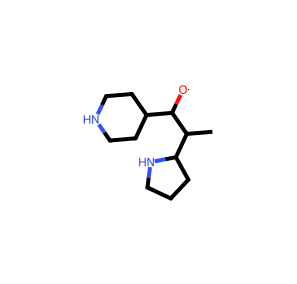 CC(C1CCCN1)C([O])C1CCNCC1